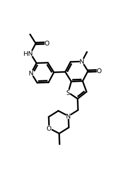 CC(=O)Nc1cc(-c2cn(C)c(=O)c3cc(CN4CCOC(C)C4)sc23)ccn1